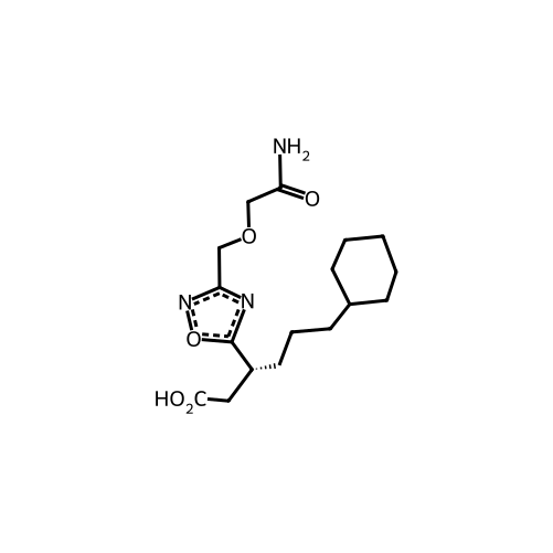 NC(=O)COCc1noc([C@H](CCCC2CCCCC2)CC(=O)O)n1